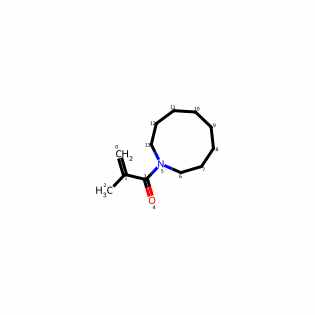 C=C(C)C(=O)N1CCCCCCCC1